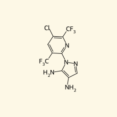 Nc1cnn(-c2nc(C(F)(F)F)c(Cl)cc2C(F)(F)F)c1N